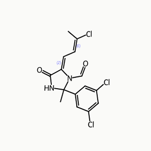 C/C(Cl)=C\C=C1\C(=O)NC(C)(c2cc(Cl)cc(Cl)c2)N1C=O